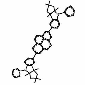 CC1(C)CC2(C)c3cc(-c4cc5ccc6cc(-c7ccc8c(c7)C7(C)CC(C)(C)CC7(C)N8c7ccccc7)cc7ccc(c4)c5c67)ccc3N(c3ccccc3)C2(C)C1